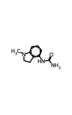 CN1CCc2c(NC(N)=O)cccc21